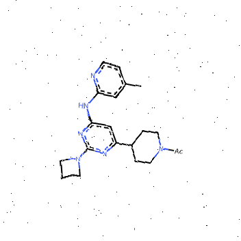 CC(=O)N1CCC(c2cc(Nc3cc(C)ccn3)nc(N3CCC3)n2)CC1